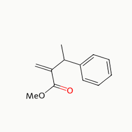 C=C(C(=O)OC)C(C)c1ccccc1